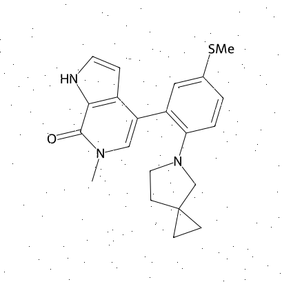 CSc1ccc(N2CCC3(CC3)C2)c(-c2cn(C)c(=O)c3[nH]ccc23)c1